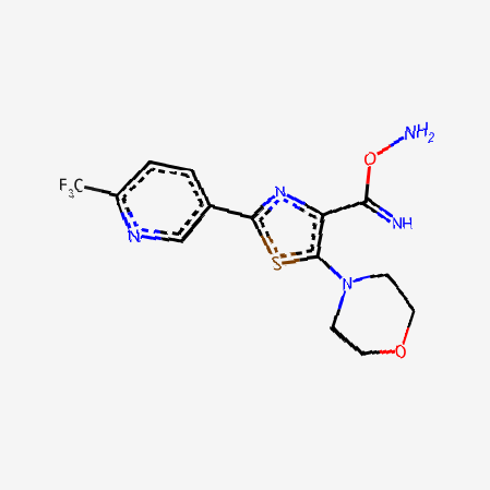 N=C(ON)c1nc(-c2ccc(C(F)(F)F)nc2)sc1N1CCOCC1